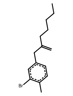 C=C(CCCCC)Cc1ccc(C)c(Br)c1